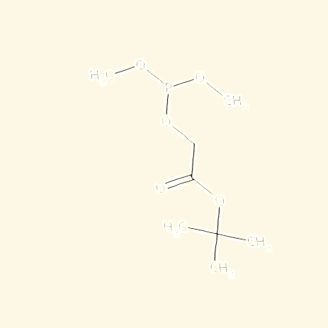 COP(OC)OCC(=O)OC(C)(C)C